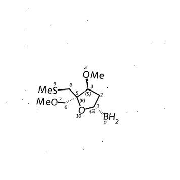 B[C@H]1C[C@H](OC)[C@](COC)(CSC)O1